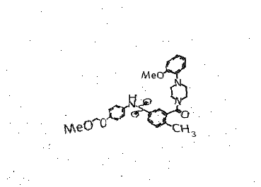 COCOc1ccc(NS(=O)(=O)c2ccc(C)c(C(=O)N3CCN(c4ccccc4OC)CC3)c2)cc1